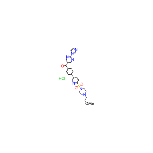 COCCN1CCN(S(=O)(=O)c2ccc(-c3ccc(C(=O)c4cnc(-n5ccnc5)nc4)cc3)cn2)CC1.Cl